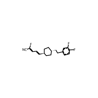 N#C/C(F)=C/C=C/[C@H]1CC[C@H](CCc2ccc(F)c(F)c2)CC1